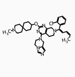 C/C=C\C=C(/c1ccccc1Cl)N1CCc2c(nc(OC3CCC4(CC3)CCN(C)CC4)nc2N2CCn3cncc3C2)C1